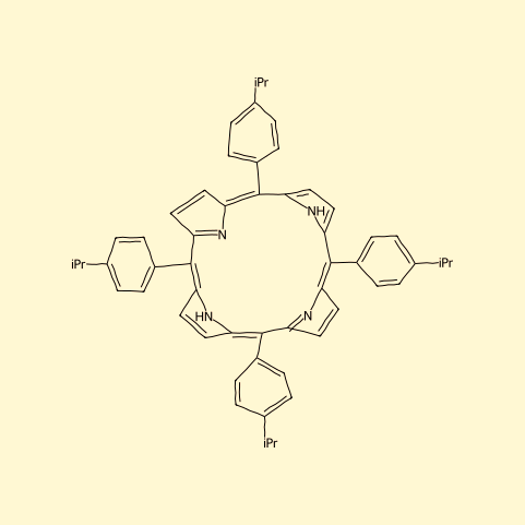 CC(C)c1ccc(-c2c3nc(c(-c4ccc(C(C)C)cc4)c4ccc([nH]4)c(-c4ccc(C(C)C)cc4)c4nc(c(-c5ccc(C(C)C)cc5)c5ccc2[nH]5)C=C4)C=C3)cc1